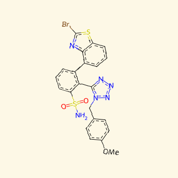 COc1ccc(Cn2nnnc2-c2c(-c3cccc4sc(Br)nc34)cccc2S(N)(=O)=O)cc1